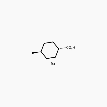 C[C@H]1CC[C@H](C(=O)O)CC1.[Ru]